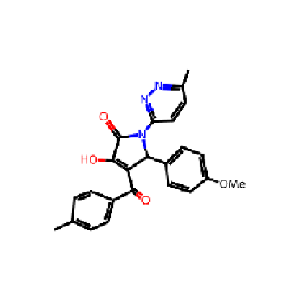 COc1ccc(C2C(C(=O)c3ccc(C)cc3)=C(O)C(=O)N2c2ccc(C)nn2)cc1